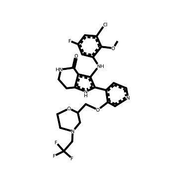 COc1c(Cl)cc(F)cc1Nc1c(-c2ccncc2OCC2CN(CC(F)(F)F)CCO2)[nH]c2c1C(=O)NCC2